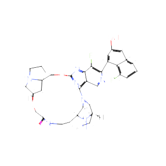 O=C1CO[C@H]2CN3CCC[C@]3(COc3nc(c4cnc(-c5cc(O)cc6cccc(F)c56)c(F)c4n3)N3C[C@@H]4CC[C@](CCN1)(C3)N4)C2